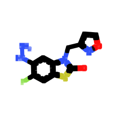 NNc1cc2c(cc1F)sc(=O)n2Cc1ccon1